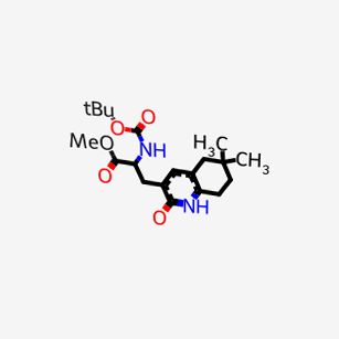 COC(=O)C(Cc1cc2c([nH]c1=O)CCC(C)(C)C2)NC(=O)OC(C)(C)C